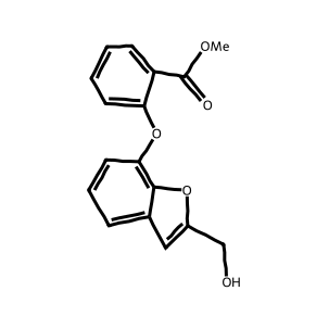 COC(=O)c1ccccc1Oc1cccc2cc(CO)oc12